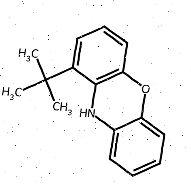 CC(C)(C)c1cccc2c1Nc1ccccc1O2